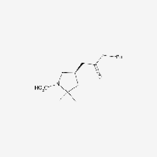 CC(C)(C)CC(=O)C[C@@H]1CN(C(=O)O)C(C)(C)C1